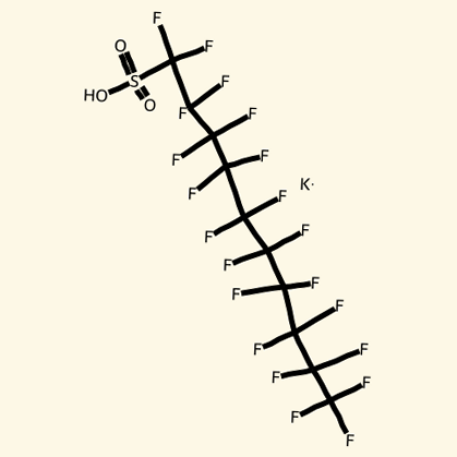 O=S(=O)(O)C(F)(F)C(F)(F)C(F)(F)C(F)(F)C(F)(F)C(F)(F)C(F)(F)C(F)(F)C(F)(F)C(F)(F)F.[K]